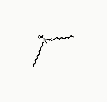 CC=O.CCCCCCCCCCCC[N+](C)(C)CCCCCCCCCCCC